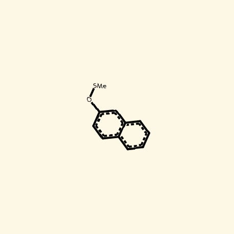 CSOc1ccc2ccccc2c1